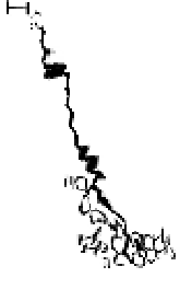 CCC=CCC=CCC=CCC=CCC=CCC=CCC(CCCN(C=O)[C@@H]1OC(C)(C)OCC1(C)C)C(=O)O